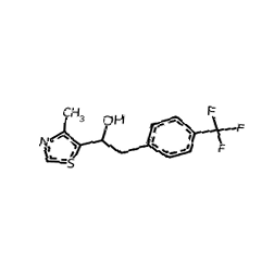 Cc1ncsc1C(O)Cc1ccc(C(F)(F)F)cc1